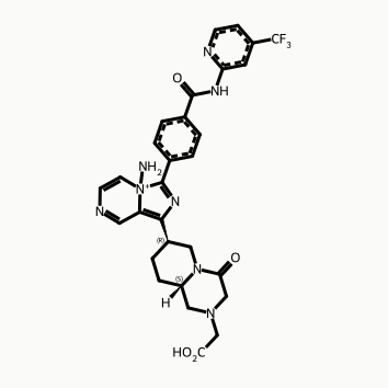 N[N+]12C=CN=CC1=C([C@@H]1CC[C@H]3CN(CC(=O)O)CC(=O)N3C1)N=C2c1ccc(C(=O)Nc2cc(C(F)(F)F)ccn2)cc1